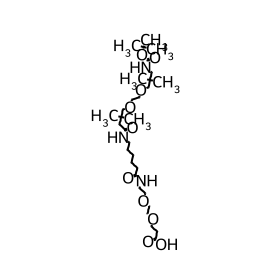 CC(C)(CNC(=O)OC(C)(C)C)COCCOCC(C)(C)CC(=O)NCCCCCC(=O)NCCOCCOCCC(=O)O